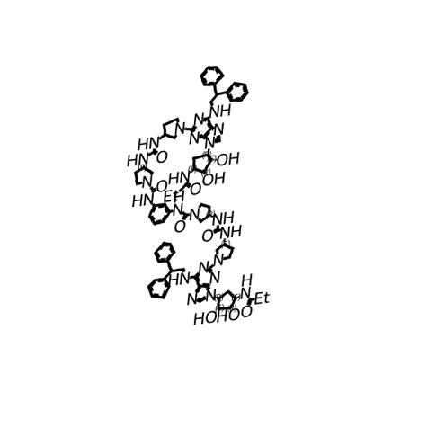 CCC(=O)N[C@H]1C[C@@H](n2cnc3c(NCC(c4ccccc4)c4ccccc4)nc(N4CCC(NC(=O)N[C@H]5CCN(C(=O)Nc6cccc(NC(=O)N7CC[C@@H](NC(=O)N[C@H]8CCN(c9nc(NCC(c%10ccccc%10)c%10ccccc%10)c%10ncn([C@@H]%11C[C@H](NC(=O)CC)[C@@H](O)[C@H]%11O)c%10n9)C8)C7)c6)C5)C4)nc32)[C@H](O)[C@@H]1O